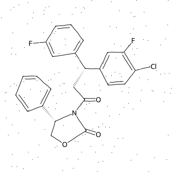 O=C(C[C@H](c1cccc(F)c1)c1ccc(Cl)c(F)c1)N1C(=O)OC[C@@H]1c1ccccc1